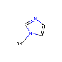 CCCn1[c]cnc1